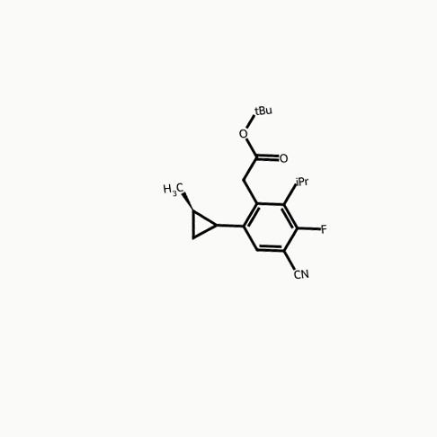 CC(C)c1c(F)c(C#N)cc(C2C[C@H]2C)c1CC(=O)OC(C)(C)C